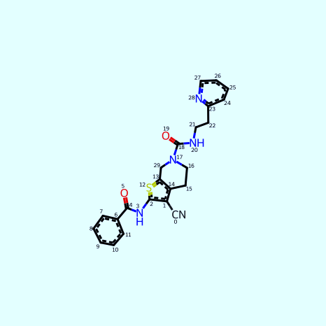 N#Cc1c(NC(=O)c2ccccc2)sc2c1CCN(C(=O)NCCc1ccccn1)C2